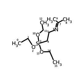 CCO[Si](CCN=C(C)C)(OCC)OCC